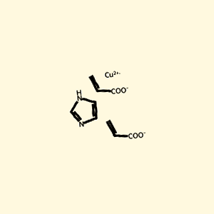 C=CC(=O)[O-].C=CC(=O)[O-].[Cu+2].c1c[nH]cn1